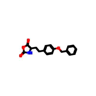 O=C1NC(CCc2ccc(OCc3ccccc3)cc2)C(=O)O1